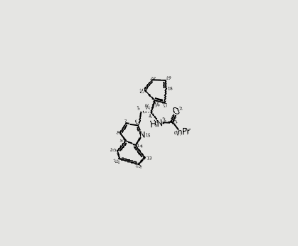 CCCC(=O)N[C@H](Cc1ccc2ccccc2n1)c1ccccc1